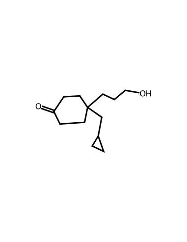 O=C1CCC(CCCO)(CC2CC2)CC1